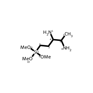 CO[Si](CCC(N)C(C)N)(OC)OC